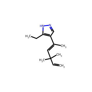 C=CC(C)(C)/C=C(\C)c1cn[nH]c1CC